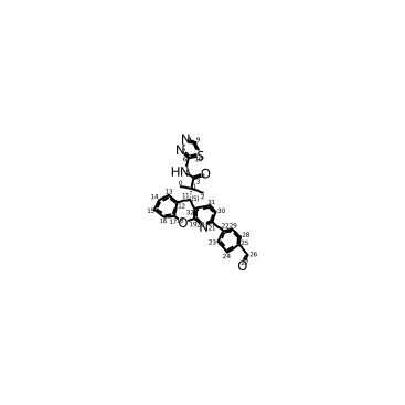 CC(C)(C(=O)Nc1nncs1)[C@H]1c2ccccc2Oc2nc(-c3ccc(C=O)cc3)ccc21